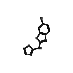 Clc1ccc2nc(Nc3ncno3)oc2c1